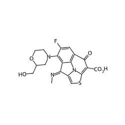 CN=c1c2c(N3CCOC(CO)C3)c(F)cc3c(=O)c(C(=O)O)c4scc1n4c32